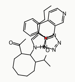 CCCCc1cn(C2C(C(C)=O)CCCCCC2C(C)C)c(=O)n1Cc1cnccc1-c1ccccc1-c1nnn[nH]1